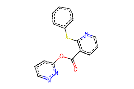 O=C(Oc1cccnn1)c1cccnc1Sc1ccccc1